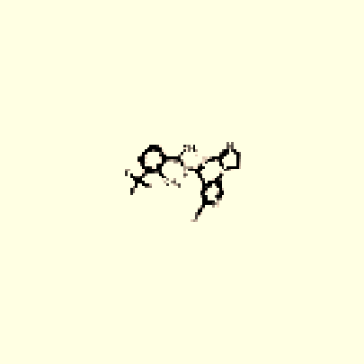 Cc1c([C@@H](C)NC2=NC3=NCCN3c3cnc(Cl)cc32)cccc1C(F)(F)F